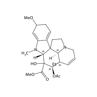 CC[C@]12C=CCN3CCC4(C5=CCC(OC)C=C5N(C)[C@H]4C(O)(C(=O)OC)[C@@H]1OC(C)=O)[C@@H]32